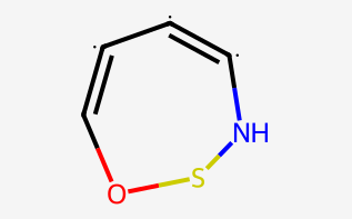 [c]1[c]cos[nH][c]1